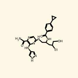 CCC(CO)CC(CNc1cnc(C(N)=O)c(Nc2cn[nH]c2)n1)NC(=O)c1ccc(C2CC2)cc1